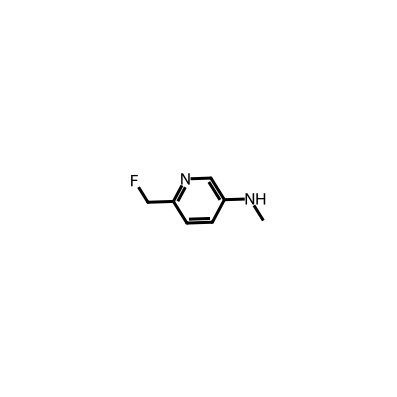 CNc1ccc(CF)nc1